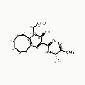 COC(=O)[C@@H](NC(=O)c1cc2c(n(CC=O)c1=O)CCCCCC2)C(C)C